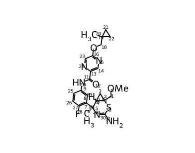 COC[C@]12C[C@H]1[C@](C)(c1cc(NC(=O)c3cnc(OCC4(C)CC4)cn3)ccc1F)N=C(N)S2